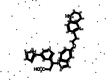 O=C(O)CC(c1cncc(-c2ccn[nH]2)c1)n1ncc2cc(OCCc3ccc4c(n3)CCCN4)ccc21